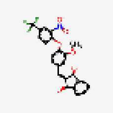 COc1cc(C=C2C(=O)c3ccccc3C2=O)ccc1Oc1ccc(C(F)(F)F)cc1[N+](=O)[O-]